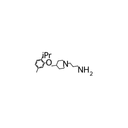 Cc1ccc(C(C)C)c(OCC2CCN(CCCN)CC2)c1